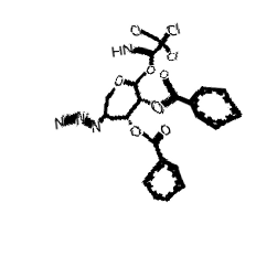 [N-]=[N+]=NC1COC(OC(=N)C(Cl)(Cl)Cl)[C@@H](OC(=O)c2ccccc2)[C@@H]1OC(=O)c1ccccc1